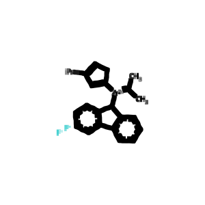 C[C](C)=[Zr+2]([C]1=CC(C(C)C)=CC1)[CH]1c2ccccc2-c2ccccc21.[F-].[F-]